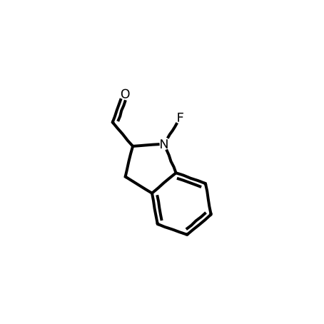 O=CC1Cc2ccccc2N1F